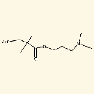 CC(=O)OCC(C)(C)C(=O)OCCCN(C)C